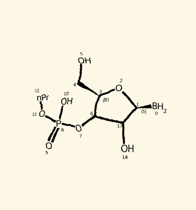 B[C@@H]1O[C@H](CO)C(OP(=O)(O)OCCC)C1O